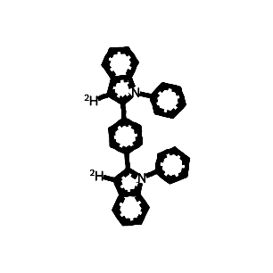 [2H]c1c(-c2ccc(-c3c([2H])c4ccccc4n3-c3ccccc3)cc2)n(-c2ccccc2)c2ccccc12